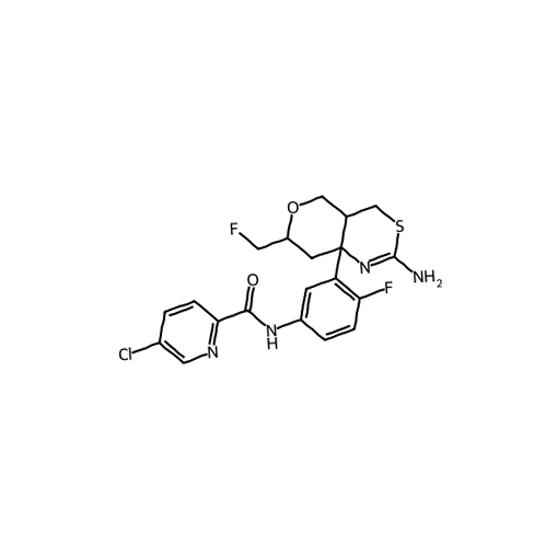 NC1=NC2(c3cc(NC(=O)c4ccc(Cl)cn4)ccc3F)CC(CF)OCC2CS1